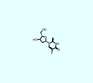 C=C1NC(=O)C(F)=CN1[C@H]1CC(O)[C@@H](CO)O1